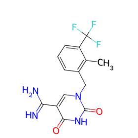 Cc1c(Cn2cc(C(=N)N)c(=O)[nH]c2=O)cccc1C(F)(F)F